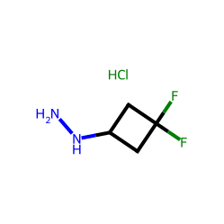 Cl.NNC1CC(F)(F)C1